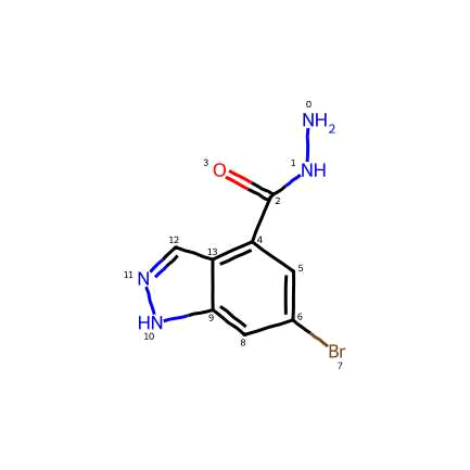 NNC(=O)c1cc(Br)cc2[nH]ncc12